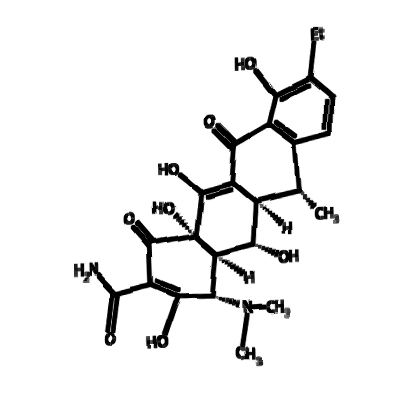 CCc1ccc2c(c1O)C(=O)C1=C(O)[C@]3(O)C(=O)C(C(N)=O)=C(O)[C@@H](N(C)C)[C@@H]3[C@@H](O)[C@@H]1[C@H]2C